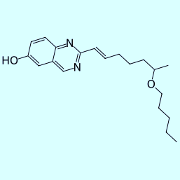 CCCCCOC(C)CCCC=Cc1ncc2cc(O)ccc2n1